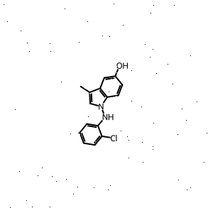 Cc1cn(Nc2ccccc2Cl)c2ccc(O)cc12